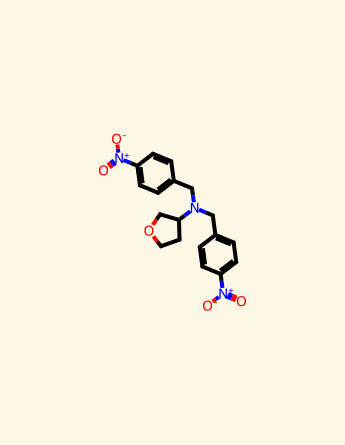 O=[N+]([O-])c1ccc(CN(Cc2ccc([N+](=O)[O-])cc2)C2CCOC2)cc1